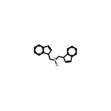 CC[SiH](CC1C=Cc2ccccc21)CC1C=Cc2ccccc21